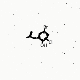 C=C(C)Cc1cc(Br)cc(Cl)c1O